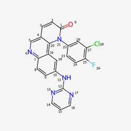 O=c1ccc2cnc3ccc(Nc4ncccn4)cc3c2n1-c1ccc(F)c(Cl)c1